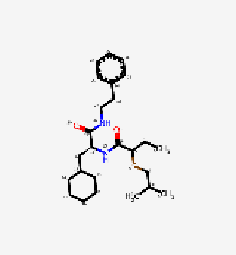 CCC(SCC(C)C)C(=O)N[C@@H](CC1CCCCC1)C(=O)NCCc1ccccc1